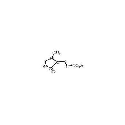 CN1COC(=O)[C@@H]1CCC(=O)O